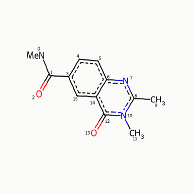 CNC(=O)c1ccc2nc(C)n(C)c(=O)c2c1